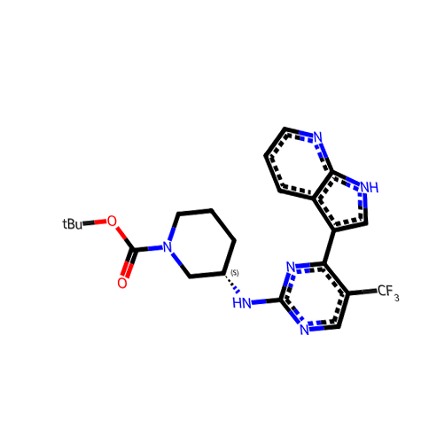 CC(C)(C)OC(=O)N1CCC[C@H](Nc2ncc(C(F)(F)F)c(-c3c[nH]c4ncccc34)n2)C1